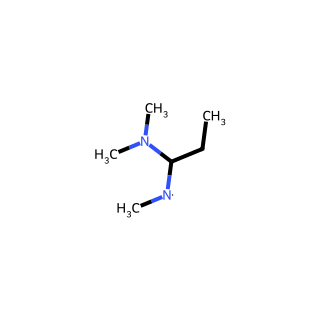 CCC([N]C)N(C)C